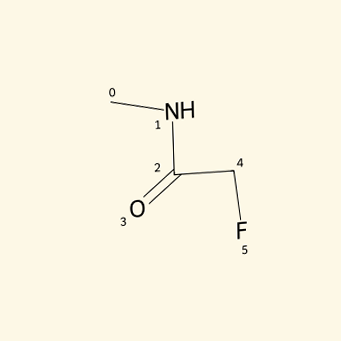 CNC(=O)CF